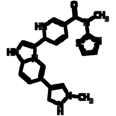 CN1C=C(C2=CN3C(C4C=CC(C(=O)N(C)c5nccs5)=CN4)=CNC3C=C2)CN1